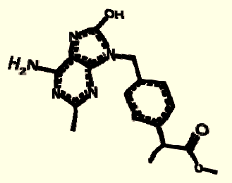 COC(=O)C(C)c1ccc(Cn2c(O)nc3c(N)nc(C)nc32)cc1